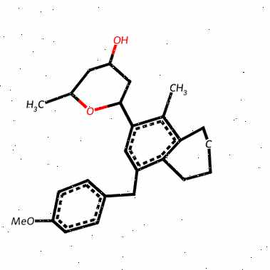 COc1ccc(Cc2cc(C3CC(O)CC(C)O3)c(C)c3c2CCCC3)cc1